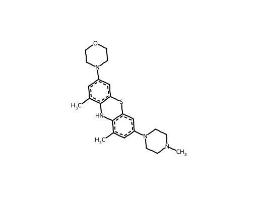 Cc1cc(N2CCOCC2)cc2c1Nc1c(C)cc(N3CCN(C)CC3)cc1S2